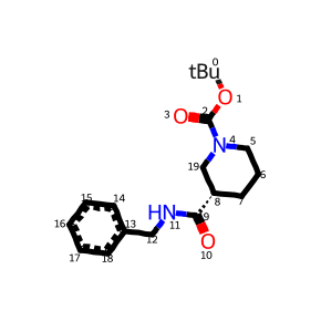 CC(C)(C)OC(=O)N1CCC[C@H](C(=O)NCc2ccccc2)C1